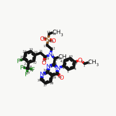 CCOc1ccc(-n2c(C(C)N(CCS(=O)(=O)CC)C(=O)Cc3ccc(F)c(C(F)(F)F)c3)nc3ncccc3c2=O)cc1